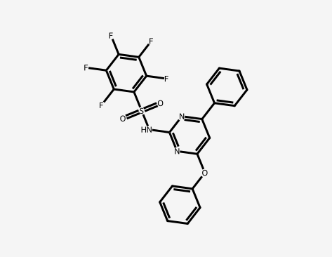 O=S(=O)(Nc1nc(Oc2ccccc2)cc(-c2ccccc2)n1)c1c(F)c(F)c(F)c(F)c1F